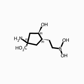 N[C@@]1(C(=O)O)C[C@@H](CCB(O)O)[C@H](O)C1